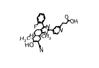 C[C@H]1C(O)=C(C#N)C[C@@]2(C)c3nc(-c4ccnc(CCC(=O)O)c4)nc(-c4ccccc4F)c3CC[C@H]12